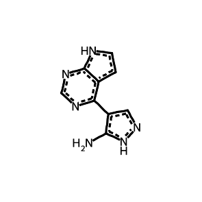 Nc1[nH]ncc1-c1ncnc2[nH]ccc12